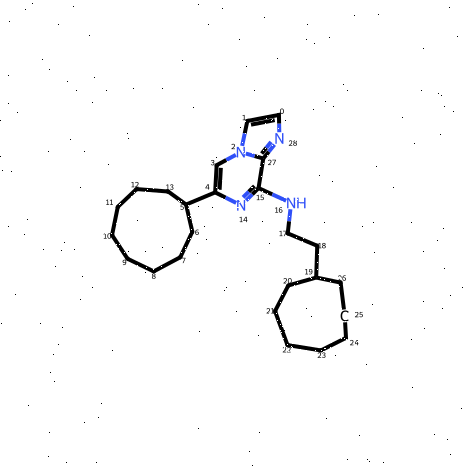 c1cn2cc(C3CCCCCCCC3)nc(NCCC3CCCCCCC3)c2n1